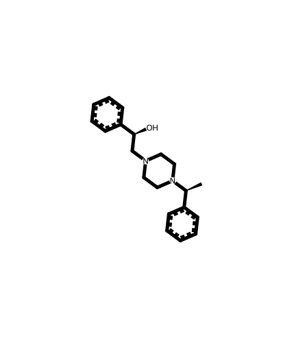 C[C@@H](c1ccccc1)N1CCN(C[C@H](O)c2ccccc2)CC1